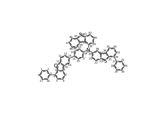 c1ccc(-c2cccc3c2oc2ccc(-c4ccc(N(c5ccc6sc7c(-c8ccccc8)cccc7c6c5)c5cccc6sc7ccccc7c56)cc4)cc23)cc1